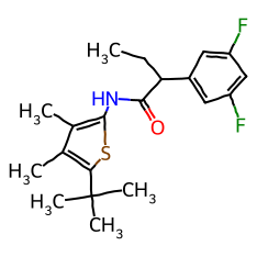 CCC(C(=O)Nc1sc(C(C)(C)C)c(C)c1C)c1cc(F)cc(F)c1